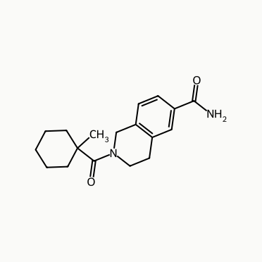 CC1(C(=O)N2CCc3cc(C(N)=O)ccc3C2)CCCCC1